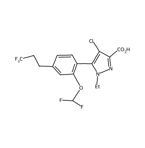 CCn1nc(C(=O)O)c(Cl)c1-c1ccc(CCC(F)(F)F)cc1OC(F)F